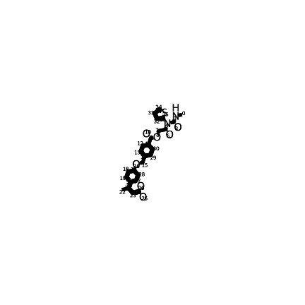 CNC(=O)N(C(=O)COC(=O)c1ccc(COc2ccc3c(C)cc(=O)oc3c2)cc1)c1cccs1